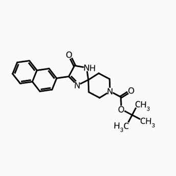 CC(C)(C)OC(=O)N1CCC2(CC1)N=C(c1ccc3ccccc3c1)C(=O)N2